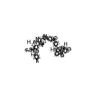 C[C@H](Oc1cc(-c2nn(C)c3c(-c4cnn(C5CCN(C(=O)c6ccc(CNc7cccc8c7C(=O)N(C7CCC(=O)NC7=O)C8=O)cc6)CC5)c4)cnc(N)c23)ccc1NSCF)c1ccc(F)cc1